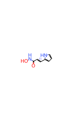 O=C(/C=C/c1ccc[nH]1)NO